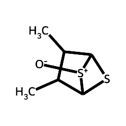 CC1C(C)C2SC1[S+]2[O-]